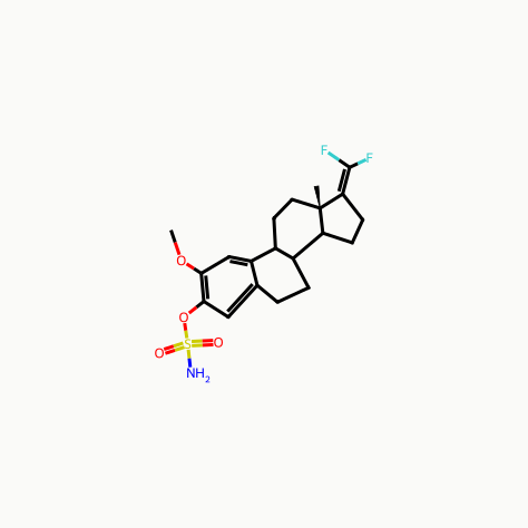 COc1cc2c(cc1OS(N)(=O)=O)CCC1C2CC[C@]2(C)C(=C(F)F)CCC12